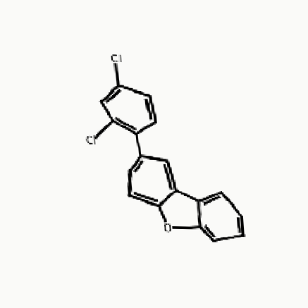 Clc1ccc(-c2ccc3oc4ccccc4c3c2)c(Cl)c1